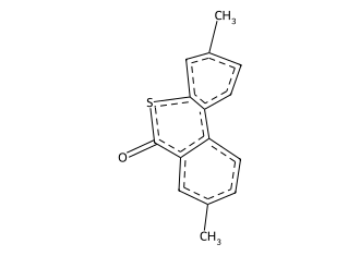 Cc1ccc2c(c1)sc(=O)c1cc(C)ccc12